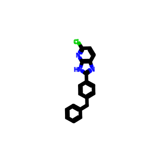 Clc1ccc2nc(-c3ccc(Cc4ccccc4)cc3)[nH]c2n1